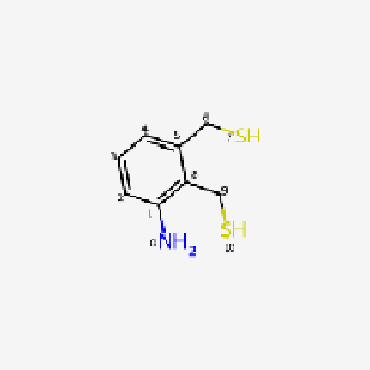 Nc1cccc(CS)c1CS